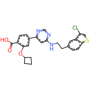 O=C(O)c1ccc(-c2cc(NCCc3ccc4scc(Cl)c4c3)ncn2)cc1OC1CCC1